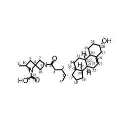 CC(CCC(=O)N1CC2(CC(C)N2C(=O)O)C1)[C@H]1CC[C@H]2[C@@H]3CC=C4C[C@@H](O)CC[C@]4(C)[C@H]3CC[C@]12C